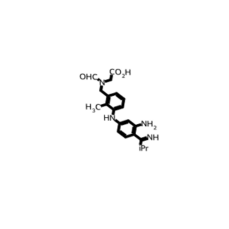 Cc1c(CN(C=O)CC(=O)O)cccc1Nc1ccc(C(=N)C(C)C)c(N)c1